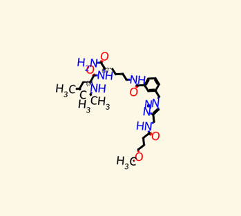 CCN[C@@H](CC(C)C)C(=O)N[C@@H](CCCCNC(=O)c1cccc(Cn2cc(CNC(=O)CCCOC)nn2)c1)C(N)=O